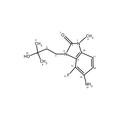 Cn1c(=O)n(CCC(C)(C)O)c2c(F)c(N)ccc21